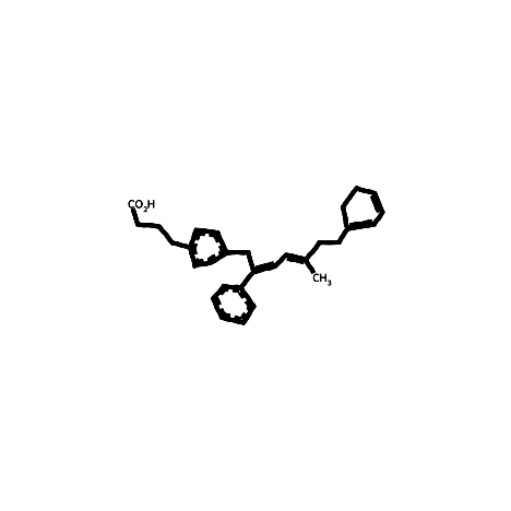 C/C(=C\C=C(/Cc1ccc(CCCC(=O)O)cc1)c1ccccc1)CCC1=CC=CCC1